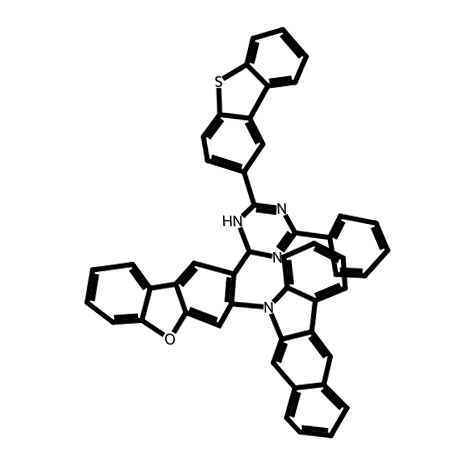 c1ccc(C2=NC(c3cc4c(cc3-n3c5ccccc5c5cc6ccccc6cc53)oc3ccccc34)NC(c3ccc4sc5ccccc5c4c3)=N2)cc1